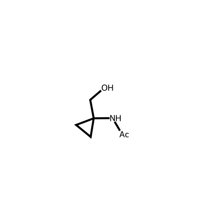 CC(=O)NC1(CO)CC1